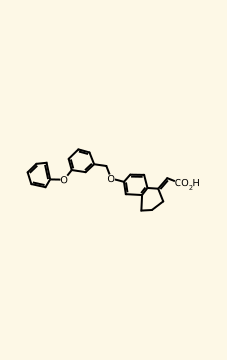 O=C(O)C=C1CCCc2cc(OCc3cccc(Oc4ccccc4)c3)ccc21